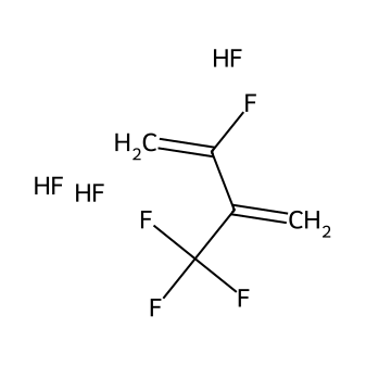 C=C(F)C(=C)C(F)(F)F.F.F.F